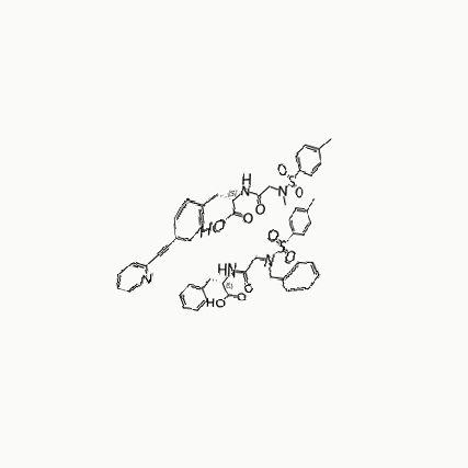 Cc1ccc(S(=O)(=O)N(C)CC(=O)N[C@@H](Cc2ccc(C#Cc3ccccn3)cc2)C(=O)O)cc1.Cc1ccc(S(=O)(=O)N(CC(=O)N[C@@H](Cc2ccccc2)C(=O)O)Cc2ccccc2)cc1